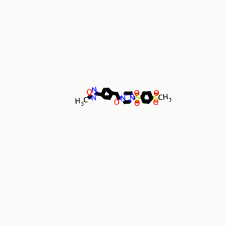 Cc1nc(-c2ccc(CC(=O)N3CCN(S(=O)(=O)c4ccc(S(C)(=O)=O)cc4)CC3)cc2)no1